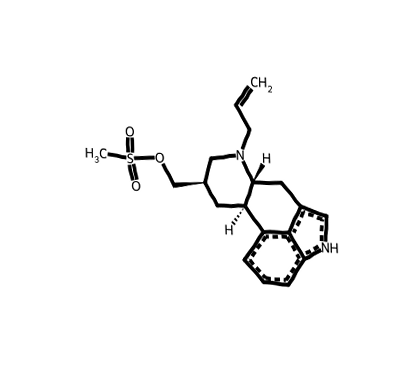 C=CCN1C[C@H](COS(C)(=O)=O)C[C@@H]2c3cccc4[nH]cc(c34)C[C@H]21